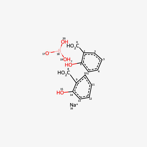 O=C(O)c1ccccc1O.O=C(O)c1ccccc1O.[Na+].[O-]B(O)O